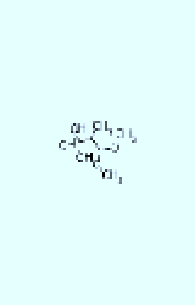 CO[C](OC)C(C)P(=O)(O)O